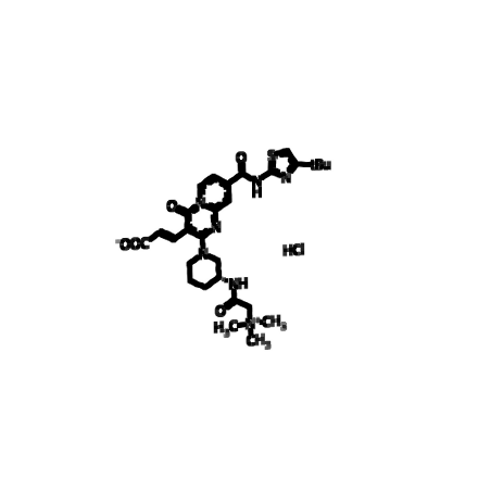 CC(C)(C)c1csc(NC(=O)c2ccn3c(=O)c(C=CC(=O)[O-])c(N4CCC[C@@H](NC(=O)C[N+](C)(C)C)C4)nc3c2)n1.Cl